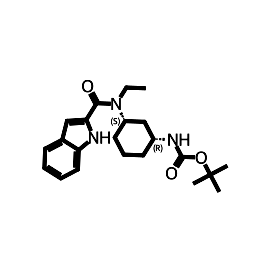 CCN(C(=O)c1cc2ccccc2[nH]1)[C@H]1CCC[C@@H](NC(=O)OC(C)(C)C)C1